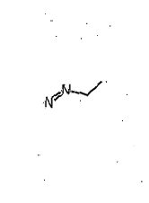 [CH2]CN=[N]